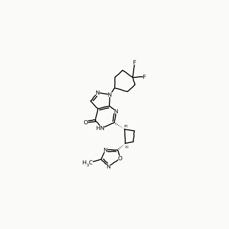 Cc1noc([C@H]2CC[C@H]2c2nc3c(cnn3C3CCC(F)(F)CC3)c(=O)[nH]2)n1